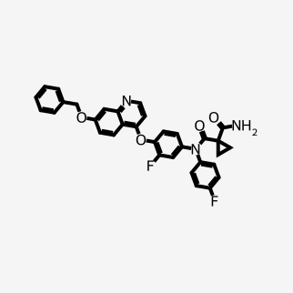 NC(=O)C1(C(=O)N(c2ccc(F)cc2)c2ccc(Oc3ccnc4cc(OCc5ccccc5)ccc34)c(F)c2)CC1